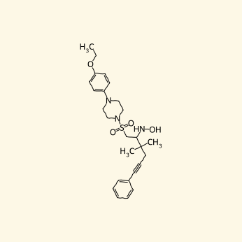 CCOc1ccc(N2CCN(S(=O)(=O)CC(NO)C(C)(C)CC#Cc3ccccc3)CC2)cc1